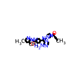 CC#CC(=O)N1CCN(c2nc(-c3ccc(C(=O)Nc4ncc(C)cc4C)cc3)c3c(N)nccn23)C1